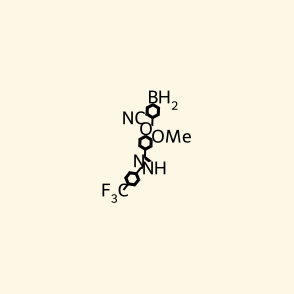 Bc1ccc(COc2ccc(-c3c[nH]c(-c4ccc(C(F)(F)F)cc4)n3)cc2OC)c(C#N)c1